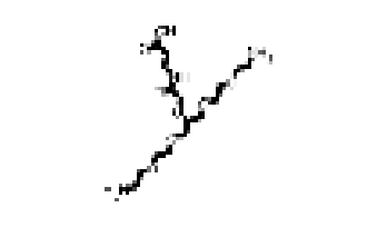 NCCOCCOCC(COCCOCCN)OCC(=O)NCCC(=O)O